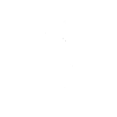 O=C1CCN(C(=O)O)C1Cc1ccc(F)c(Br)c1